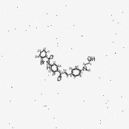 CN(CCO)c1ccc(/C=C/C(=O)c2ccc(NC(=O)c3ccccc3Br)cc2)cc1